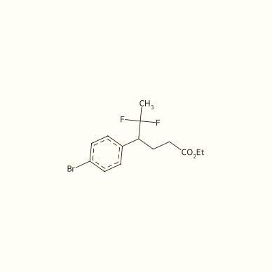 CCOC(=O)CCC(c1ccc(Br)cc1)C(C)(F)F